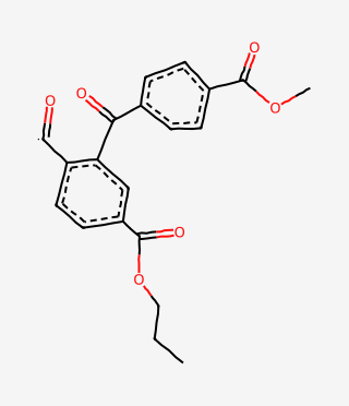 CCCOC(=O)c1ccc([C]=O)c(C(=O)c2ccc(C(=O)OC)cc2)c1